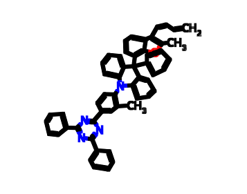 C=C/C=C\c1c(C)oc2c(C3(c4ccccc4)c4ccccc4N(c4ccc(-c5nc(-c6ccccc6)nc(-c6ccccc6)n5)cc4C)c4ccccc43)cccc12